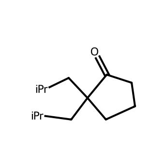 CC(C)CC1(CC(C)C)CCCC1=O